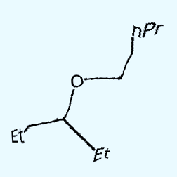 CCCCO[C](CC)CC